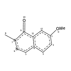 COc1ccc2cnn(C)c(=O)c2c1